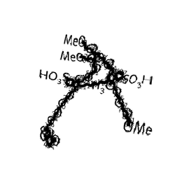 COCCOCCOCCOCCN1C=C(/C=C/C=C/C=C/C=C2/N(CCOCCOCCOCCOCCC(=O)ON3C(=O)CCC3=O)c3ccc(S(=O)(=O)O)cc3C2(C)CCOCCOCCOCCOC)C(C)(CCOCCOCCOCCOC)c2cc(S(=O)(=O)O)ccc21